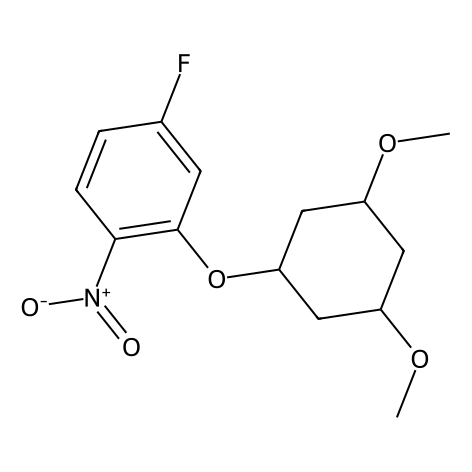 COC1CC(OC)CC(Oc2cc(F)ccc2[N+](=O)[O-])C1